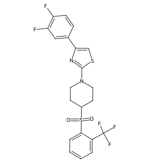 O=S(=O)(c1ccccc1C(F)(F)F)C1CCN(c2nc(-c3ccc(F)c(F)c3)cs2)CC1